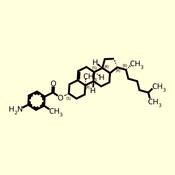 Cc1cc(N)ccc1C(=O)O[C@H]1CC[C@@]2(C)C(=CC[C@H]3[C@@H]4CC[C@H]([C@H](C)CCCC(C)C)C4CC[C@@H]32)C1